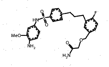 COc1cc(NS(=O)(=O)c2ccc(CCCc3cc(COCC(N)=O)ccc3F)cc2)ccc1N